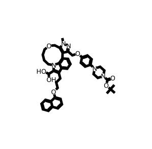 Cn1nc(COc2ccc(N3CCN(C(=O)OC(C)(C)C)CC3)cc2)c2c1COCCCCn1c(C(O)O)c(CCCOc3cccc4ccccc34)c3cccc-2c31